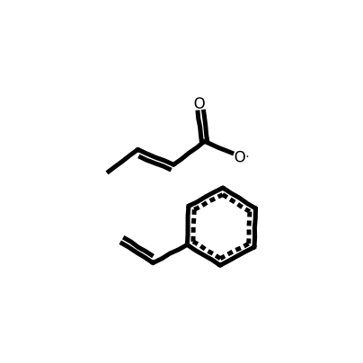 C=Cc1ccccc1.CC=CC([O])=O